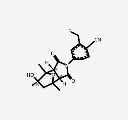 CC12C[C@](C)(O)C(C)(O1)[C@@H]1C(=O)N(c3ccc(C#N)c(CF)c3)C(=O)[C@@H]12